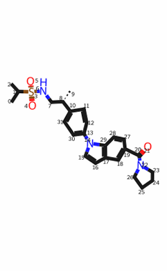 CC(C)S(=O)(=O)NC[C@H](C)c1ccc(-n2ccc3cc(C(=O)N4CCCC4)ccc32)cc1